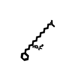 CC(=O)O.CN(C)CCCCCCCCCCCCCc1ccccc1